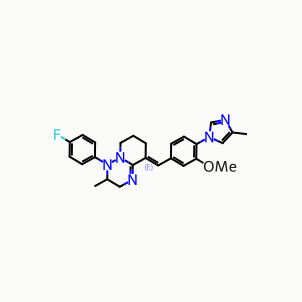 COc1cc(/C=C2\CCCN3C2=NCC(C)N3c2ccc(F)cc2)ccc1-n1cnc(C)c1